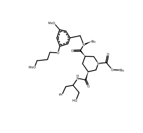 CC[C@H](C)N(Cc1cc(OC)cc(OCCCOC)c1)C(=O)[C@@H]1C[C@H](C(=O)NC(CO)CC(C)C)CN(C(=O)OC(C)(C)C)C1